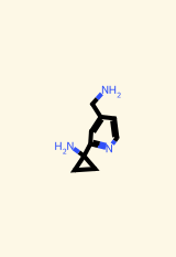 NCc1ccnc(C2(N)CC2)c1